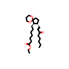 CCCCCC(=O)C=C[C@H]1CCC2(OCCCO2)[C@@H]1CCCCCCC(=O)OCC